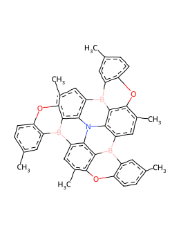 Cc1ccc2c(c1)B1c3cc(C)c4c5c3N3c6c(cc(C)c(c61)O2)B1c2cc(C)ccc2Oc2c(C)cc(c3c21)B5c1cc(C)ccc1O4